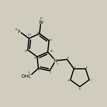 O=Cc1cn(CC2CCCC2)c2cc(Br)c(F)cc12